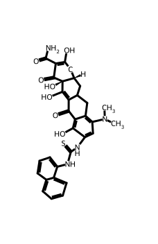 CN(C)c1cc(NC(=S)Nc2cccc3ccccc23)c(O)c2c1CC1C[C@H]3CC(O)=C(C(N)=O)C(=O)[C@@]3(O)C(O)=C1C2=O